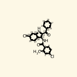 Cc1cc(Cl)ccc1C(=O)Nc1c(C(=O)c2ccccc2)[nH]c2cc(Cl)ccc12